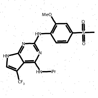 COc1cc(S(C)(=O)=O)ccc1Nc1nc(NC(C)C)c2c(C(F)(F)F)c[nH]c2n1